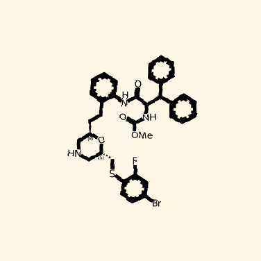 COC(=O)NC(C(=O)Nc1ccccc1CC[C@@H]1CNC[C@@H](CSc2ccc(Br)cc2F)O1)C(c1ccccc1)c1ccccc1